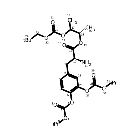 CC(C)OC(=O)Oc1ccc(C[C@H](N)C(=O)O[C@@H](C)C(C)OC(=O)OCC(C)(C)C)cc1OC(=O)OC(C)C